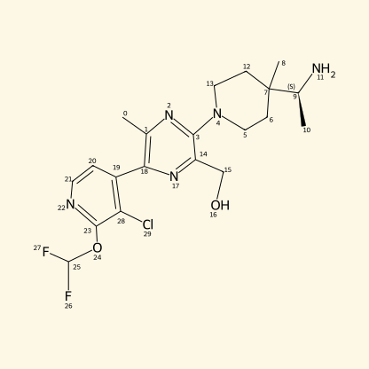 Cc1nc(N2CCC(C)([C@H](C)N)CC2)c(CO)nc1-c1ccnc(OC(F)F)c1Cl